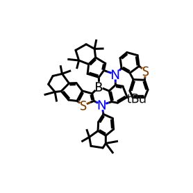 CC(C)(C)c1cc2c3c(c1)N(c1cccc4sc5ccccc5c14)c1cc4c(cc1B3c1c(sc3cc5c(cc13)C(C)(C)CCC5(C)C)N2c1ccc2c(c1)C(C)(C)CCC2(C)C)C(C)(C)CCC4(C)C